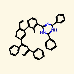 C=CC1=C(c2cccc(C3=NC(c4ccccc4)NC(c4ccccc4)N3)c2C)C=C(/C(=C/C(=C\C)c2ccccc2)c2ccccc2)CC1